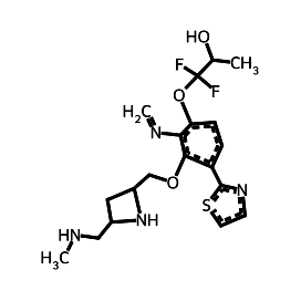 C=Nc1c(OC(F)(F)C(C)O)ccc(-c2nccs2)c1OCC1CC(CNC)N1